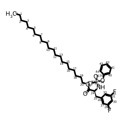 CCCCCCCCCCCCCCCCCCCCCOC(=O)[C@H](Cc1cc(F)cc(F)c1)NP(=O)(Cl)Oc1ccccc1